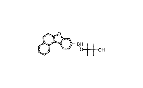 CC(C)(O)C(C)(C)OBc1ccc2c(c1)oc1ccc3ccccc3c12